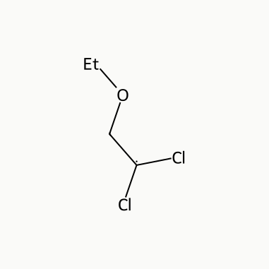 CCOC[C](Cl)Cl